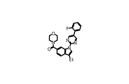 CCc1cn(-c2ncc(-c3ccccc3F)cn2)c2cc(C(=O)N3CCOCC3)ccc12